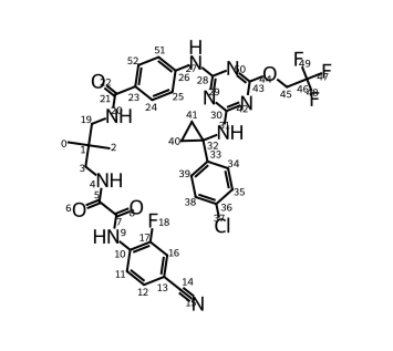 CC(C)(CNC(=O)C(=O)Nc1ccc(C#N)cc1F)CNC(=O)c1ccc(Nc2nc(NC3(c4ccc(Cl)cc4)CC3)nc(OCC(F)(F)F)n2)cc1